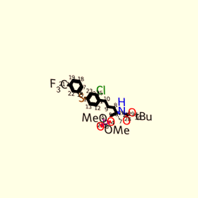 COP(=O)(OC)OC[C@@](C)(CCCc1ccc(Sc2cccc(C(F)(F)F)c2)cc1Cl)NC(=O)OC(C)(C)C